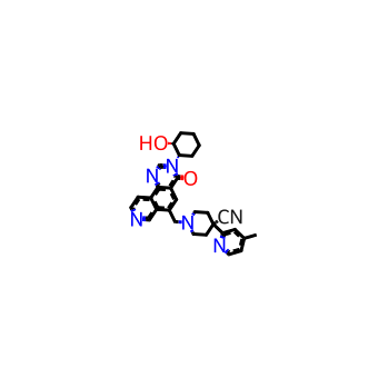 Cc1ccnc(C2(C#N)CCN(Cc3cc4c(=O)n([C@H]5CCCC[C@@H]5O)cnc4c4ccncc34)CC2)c1